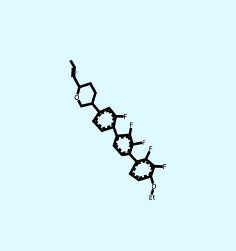 C/C=C/C1CCC(c2ccc(-c3ccc(-c4ccc(OCC)c(F)c4F)c(F)c3F)c(F)c2)CO1